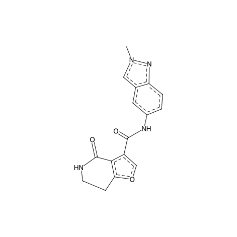 Cn1cc2cc(NC(=O)c3coc4c3C(=O)NCC4)ccc2n1